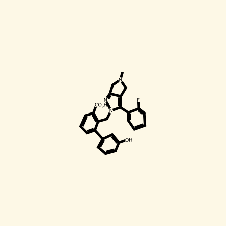 CN1Cc2nn(Cc3c(C(=O)O)cccc3-c3cccc(O)c3)c(-c3ccccc3F)c2C1